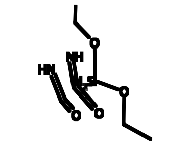 CCO[SiH2]OCC.N=C=O.N=C=O